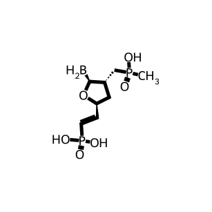 B[C@@H]1O[C@H](/C=C/P(=O)(O)O)C[C@H]1CP(C)(=O)O